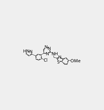 COc1ccc2sc(CNc3nncc(-c4cc(-c5cc[nH]n5)ccc4Cl)n3)nc2c1